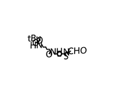 CC(C)(C)OC(=O)NCCCCCC(=O)NCc1ccc(-c2nc(C=O)cs2)cc1